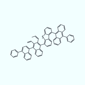 C=Cc1c(/C=C\C)c(-c2cccc3c2sc2cccc(-c4c5ccccc5c(-c5ccccc5)c5ccccc45)c23)c2ccccc2c1-c1ccc(-c2ccccc2)c2ccccc12